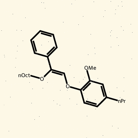 CCCCCCCCOC(=COc1ccc(CCC)cc1OC)c1ccccc1